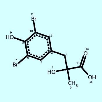 CC(O)(Cc1cc(Br)c(O)c(Br)c1)C(=O)O